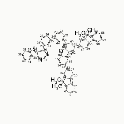 CC1(C)c2ccccc2-c2ccc(-c3ccc4oc5c(-c6cccc(-c7cccc(-c8ncnc9c8sc8ccccc89)c7)c6)cc(-c6ccc7c(c6)C(C)(C)c6ccccc6-7)cc5c4c3)cc21